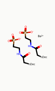 CCCCCCCCCCCC(=O)NCCS(=O)(=O)[O-].CCCCCCCCCCCC(=O)NCCS(=O)(=O)[O-].[Ba+2]